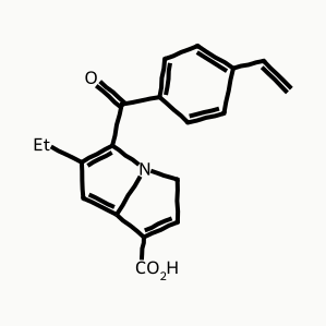 C=Cc1ccc(C(=O)c2c(CC)cc3n2CC=C3C(=O)O)cc1